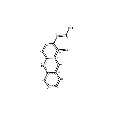 NN=Nc1ccc2[nH]c3ccccc3cc-2c1=O